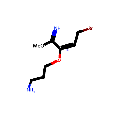 COC(=N)/C(=C\CBr)OCCCN